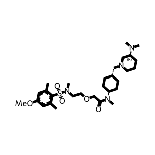 COc1cc(C)c(S(=O)(=O)N(C)CCOCC(=O)N(C)[C@H]2CC[C@@H](CN3CCC[C@@H](N(C)C)C3)CC2)c(C)c1